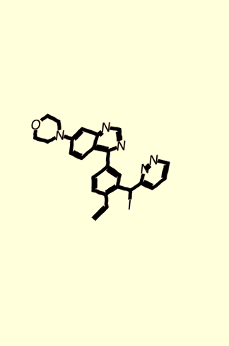 C=Cc1ccc(-c2ncnc3cc(N4CCOCC4)ccc23)cc1C(I)c1cccnn1